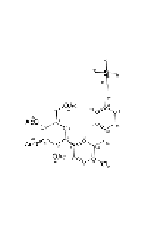 CC(=O)OC[C@H]1O[C@@H](c2ccc(Cl)c(Cc3ccc(C#C[Si](C)(C)C)cc3)c2)[C@H](OC(C)=O)[C@@H](OC(C)=O)[C@@H]1OC(C)=O